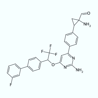 Nc1nc(OC(c2ccc(-c3cccc(F)c3)cc2)C(F)(F)F)cc(-c2ccc(C3CC3(N)C=O)cc2)n1